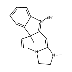 C=CC1(C)C(C=C2N(C)CCN2C)=[N+](CCC)c2ccccc21